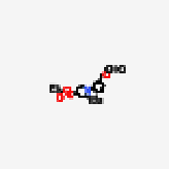 CCC(=O)OOC1CCN(c2cccc(COC=O)c2)C(C(C)(C)C)C1